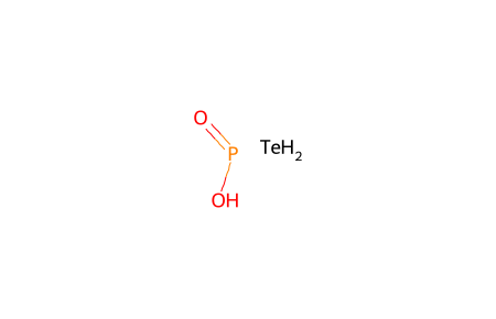 O=PO.[TeH2]